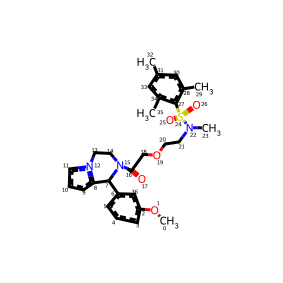 COc1cccc(C2c3cccn3CCN2C(=O)COCCN(C)S(=O)(=O)c2c(C)cc(C)cc2C)c1